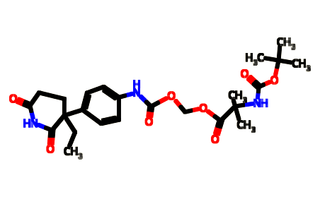 CCC1(c2ccc(NC(=O)OCOC(=O)C(C)(C)NC(=O)OC(C)(C)C)cc2)CCC(=O)NC1=O